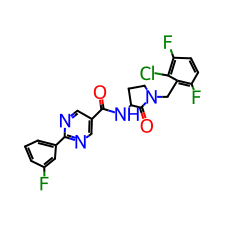 O=C(NC1CCN(Cc2c(F)ccc(F)c2Cl)C1=O)c1cnc(-c2cccc(F)c2)nc1